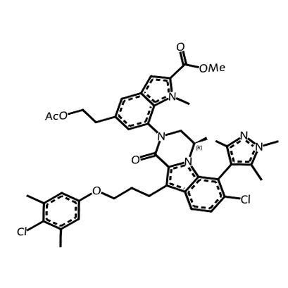 COC(=O)c1cc2cc(CCOC(C)=O)cc(N3C[C@@H](C)n4c(c(CCCOc5cc(C)c(Cl)c(C)c5)c5ccc(Cl)c(-c6c(C)nn(C)c6C)c54)C3=O)c2n1C